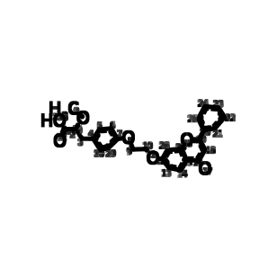 CO[C@@H](Cc1ccc(OCCOc2ccc3c(=O)cc(-c4ccccc4)oc3c2)cc1)C(=O)O